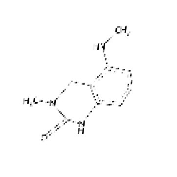 CNc1cccc2c1CN(C)C(=O)N2